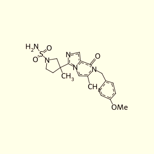 COc1ccc(Cn2c(C)cn3c(C4(C)CCN(S(N)(=O)=O)C4)ncc3c2=O)cc1